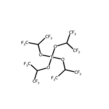 FC(F)(F)C([O][Ti]([O]C(C(F)(F)F)C(F)(F)F)([O]C(C(F)(F)F)C(F)(F)F)[O]C(C(F)(F)F)C(F)(F)F)C(F)(F)F